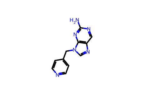 Nc1ncc2ncn(Cc3ccncc3)c2n1